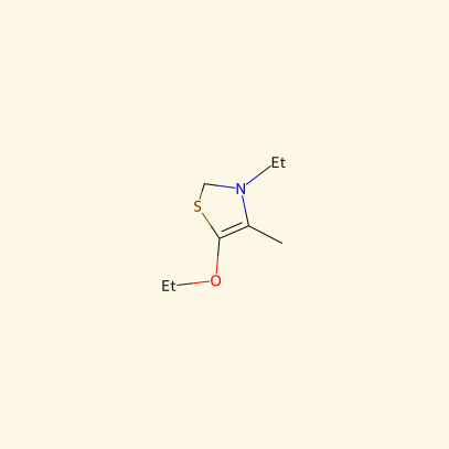 CCOC1=C(C)N(CC)CS1